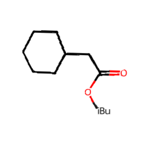 CCC(C)OC(=O)CC1CCCCC1